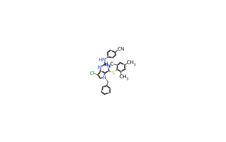 Cc1cc(C)c(Sc2nc(Nc3ccc(C#N)cc3)nc3c(Cl)cn(Cc4ccccc4)c23)c(C)c1